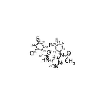 CC(=O)N(c1ccc(F)c(F)c1)c1cc(NC(=O)Cc2ccc(F)cc2Cl)cnn1